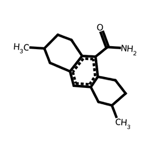 CC1CCc2c(cc3c(c2C(N)=O)CCC(C)C3)C1